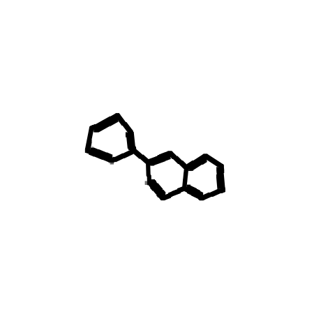 [c]1ccccc1-c1[c]cc2ccccc2c1